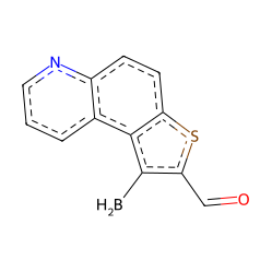 Bc1c(C=O)sc2ccc3ncccc3c12